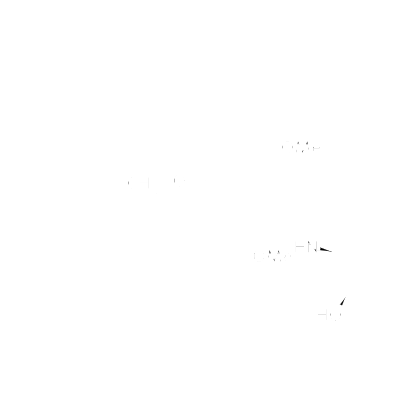 COc1cc(OCc2cccc(-c3ccccc3)c2C)cc(OC)c1CN[C@H]1CCC[C@H]1O